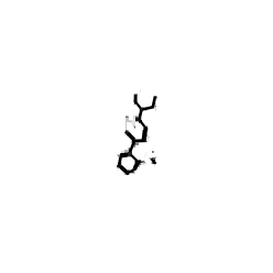 CCC(CC)c1ccc(-c2ccccc2OC)cn1